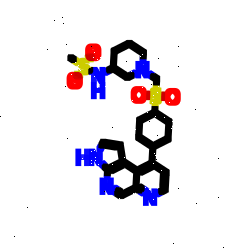 CS(=O)(=O)NC1CCCN(CS(=O)(=O)C2CCC(c3ccnc4cnc5[nH]ccc5c34)CC2)C1